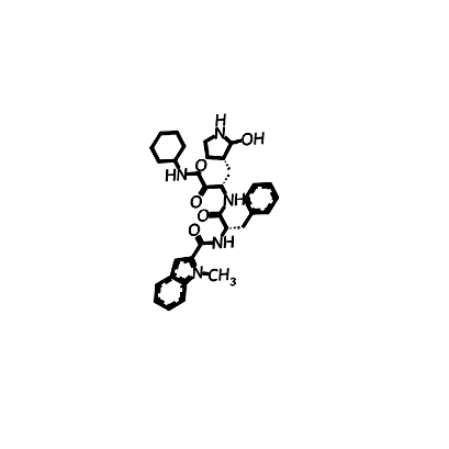 Cn1c(C(=O)N[C@@H](Cc2ccccc2)C(=O)N[C@@H](C[C@@H]2CCNC2O)C(=O)C(=O)NC2CCCCC2)cc2ccccc21